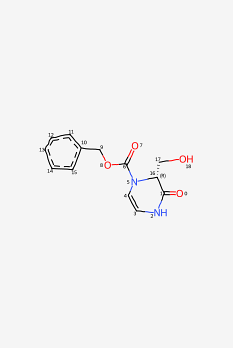 O=C1NC=CN(C(=O)OCc2ccccc2)[C@@H]1CO